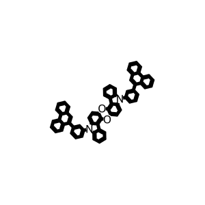 c1cc(-c2cc3ccccc3c3ccccc23)cc(-n2c3ccccc3c3c4c(ccc32)Oc2c(ccc3c2c2ccccc2n3-c2cccc(-c3cc5ccccc5c5ccccc35)c2)O4)c1